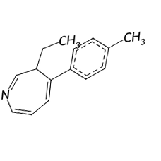 CCC1C=NC=CC=C1c1ccc(C)cc1